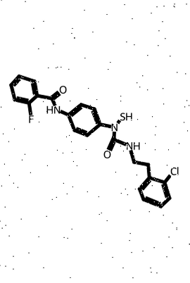 O=C(Nc1ccc(N(S)C(=O)NCCc2ccccc2Cl)cc1)c1ccccc1F